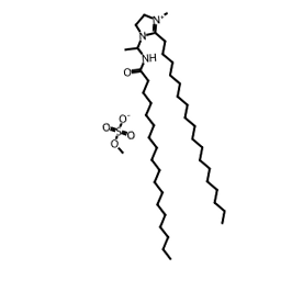 CCCCCCCCCCCCCCCCCCC1=[N+](C)CCN1C(C)NC(=O)CCCCCCCCCCCCCCCCC.COS(=O)(=O)[O-]